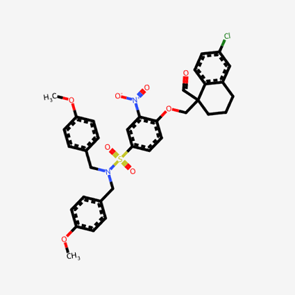 COc1ccc(CN(Cc2ccc(OC)cc2)S(=O)(=O)c2ccc(OCC3(C=O)CCCc4cc(Cl)ccc43)c([N+](=O)[O-])c2)cc1